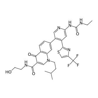 CCNC(=O)Nc1cc(-c2nc(C(F)(F)F)cs2)c(-c2ccc3c(=O)c(C(=O)NCCO)cn(CCC(C)C)c3c2)cn1